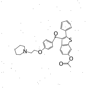 CC(=O)Oc1ccc2c(C(=O)c3ccc(OCCN4CCCCC4)cc3)c(-c3ccccc3)sc2c1